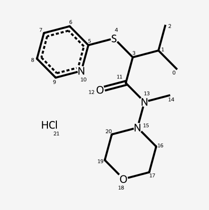 CC(C)C(Sc1ccccn1)C(=O)N(C)N1CCOCC1.Cl